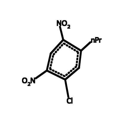 CCCc1cc(Cl)c([N+](=O)[O-])cc1[N+](=O)[O-]